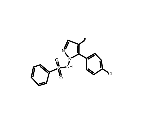 O=S(=O)(Nn1ncc(F)c1-c1ccc(Cl)cc1)c1ccccc1